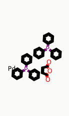 O=C1C=CC(=O)O1.[Pd].c1ccc(P(c2ccccc2)c2ccccc2)cc1.c1ccc(P(c2ccccc2)c2ccccc2)cc1